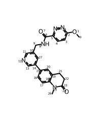 COc1ccc(C(=O)NCc2cncc(-c3ccc4c(c3)CCC(=O)N4C)c2)nn1